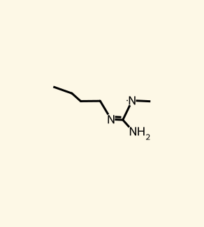 CCCCN=C(N)[N]C